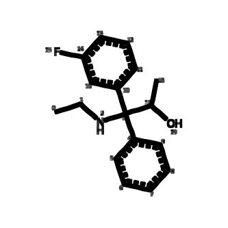 CCNC(c1ccccc1)(c1cccc(F)c1)C(C)O